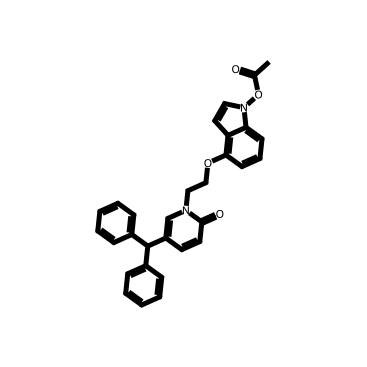 CC(=O)On1ccc2c(OCCn3cc(C(c4ccccc4)c4ccccc4)ccc3=O)cccc21